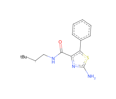 CC(C)(C)[CH]CNC(=O)c1nc(N)sc1-c1ccccc1